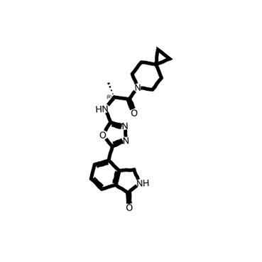 C[C@@H](Nc1nnc(-c2cccc3c2CNC3=O)o1)C(=O)N1CCC2(CC1)CC2